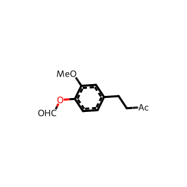 COc1cc(CCC(C)=O)ccc1OC=O